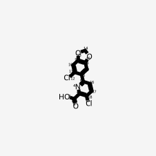 O=C(O)c1nc(-c2cc3c(cc2Cl)OCO3)ccc1Cl